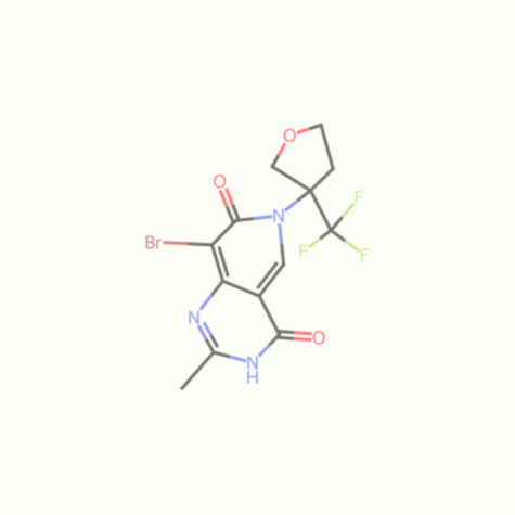 Cc1nc2c(Br)c(=O)n(C3(C(F)(F)F)CCOC3)cc2c(=O)[nH]1